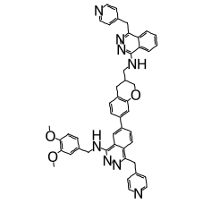 COc1ccc(CNc2nnc(Cc3ccncc3)c3ccc(-c4ccc5c(c4)OCC(CNc4nnc(Cc6ccncc6)c6ccccc46)C5)cc23)cc1OC